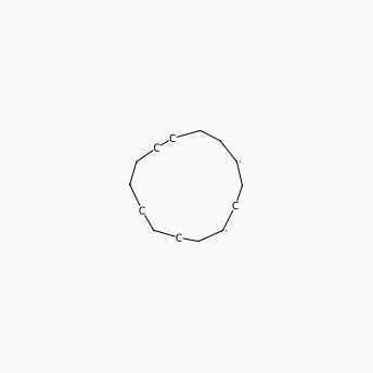 [CH]1CC[CH]CCCCCCCCCC1